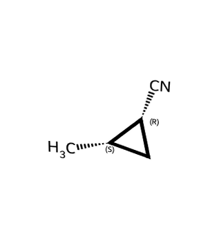 C[C@H]1C[C@H]1C#N